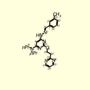 CCCN(CCC)c1cc(NN=Cc2cccc(C)c2)nc(OCCc2ncccn2)n1